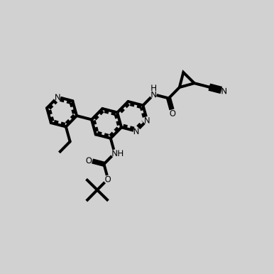 CCc1ccncc1-c1cc(NC(=O)OC(C)(C)C)c2nnc(NC(=O)C3CC3C#N)cc2c1